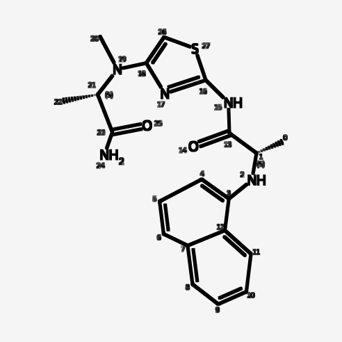 C[C@H](Nc1cccc2ccccc12)C(=O)Nc1nc(N(C)[C@@H](C)C(N)=O)cs1